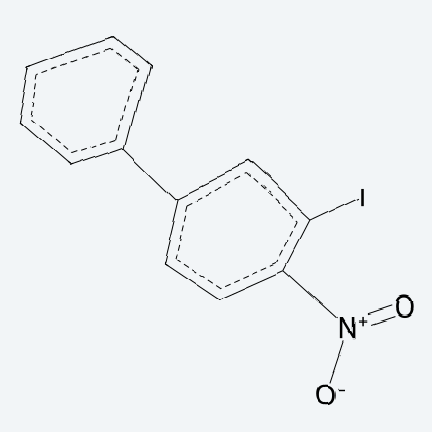 O=[N+]([O-])c1ccc(-c2ccccc2)cc1I